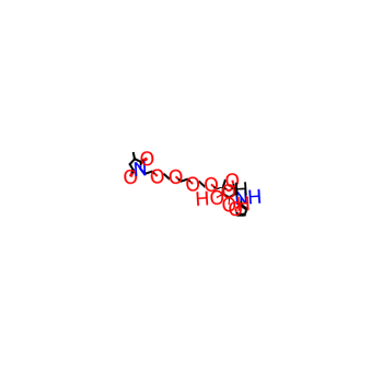 CC1CC(=O)N(CCOCCOCCOCCOC[C@@]23CO[C@@H](O2)[C@@H](Nc2ccco2)[C@@H](O)[C@H]3O)C1=O